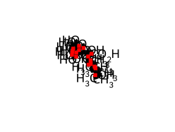 CC1OC(OC2C(OC3C(OC4CC[C@@]5(C)C(CCC6(C)C5CC=C5C7CC(C)(C)CC(O)C7(C)CC[C@@]56C)C4(C)C)OC(C(=O)O)C(O)C3O)OC(CO)C(O)C2OC2OC(CO)C(O)C(O)C2O)C(O)C(O)C1O